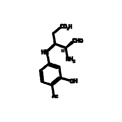 CC(=O)c1ccc(NC(CC(=O)O)[C@H](N)C=O)cc1O